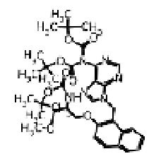 COCC(COc1ccc2ccccc2c1Cn1cnc2c(N(C(=O)OC(C)(C)C)C(=O)OC(C)(C)C)ncnc21)NC(=O)OC(C)(C)C